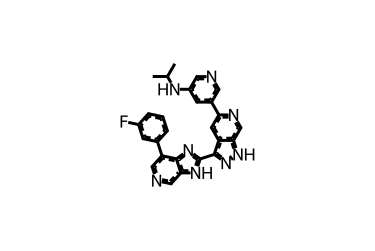 CC(C)Nc1cncc(-c2cc3c(-c4nc5c(-c6cccc(F)c6)cncc5[nH]4)n[nH]c3cn2)c1